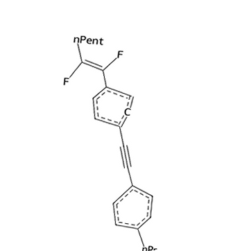 CCCCC/C(F)=C(\F)c1ccc(C#Cc2ccc(CCC)cc2)cc1